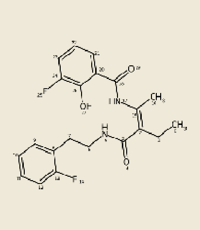 CCC(C(=O)NCCc1ccccc1F)=C(C)NC(=O)c1cccc(F)c1O